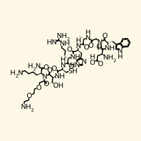 C[C@H](NC(=O)CNC(=O)[C@H](Cc1c[nH]c2ccccc12)NC(=O)[C@@H](N)CC(=O)O)C(=O)N[C@@H](Cc1c[nH]cn1)C(=O)N[C@@H](CCCNC(=N)N)C(=O)N[C@@H](CS)C(=O)N[C@H](C(=O)N(C(=O)COCCOCCN)[C@@H](CCCCN)C(N)=O)[C@@H](C)O